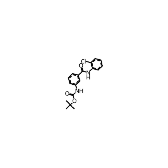 CC(C)(C)OC(=O)Nc1cccc(C(=O)Nc2ccccc2Cl)c1